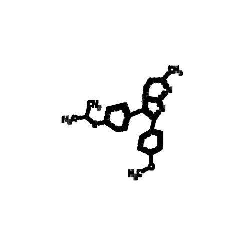 COc1ccc(-c2nc3nc(C)ccn3c2-c2ccc(SC(C)C)cc2)cc1